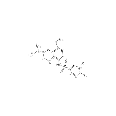 COc1ccc(NS(=O)(=O)c2ccc(F)c(Cl)c2)c2c1C[C@@H](N(C)C)CO2